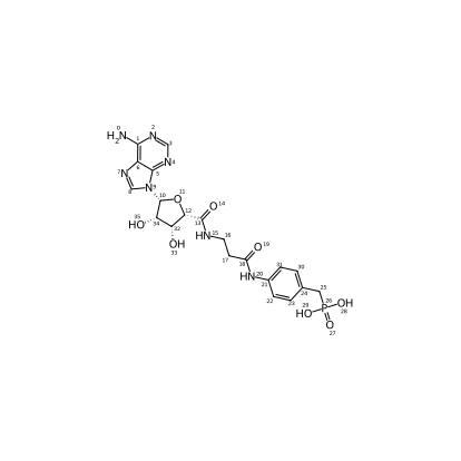 Nc1ncnc2c1ncn2[C@@H]1O[C@H](C(=O)NCCC(=O)Nc2ccc(CP(=O)(O)O)cc2)[C@H](O)[C@@H]1O